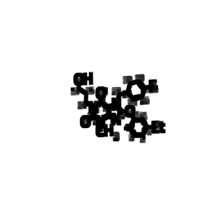 CCc1cccc(Oc2nc3c(c(=O)n(CCCO)c(=O)n3C)n2CC2C=CC(F)=CC2)c1